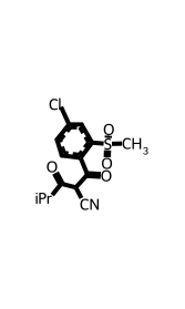 CC(C)C(=O)C(C#N)C(=O)c1ccc(Cl)cc1S(C)(=O)=O